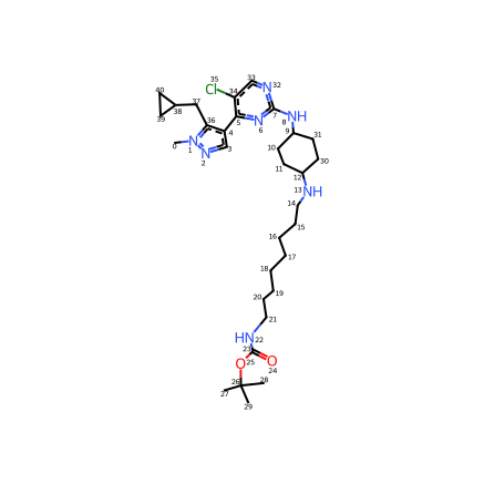 Cn1ncc(-c2nc(NC3CCC(NCCCCCCCCNC(=O)OC(C)(C)C)CC3)ncc2Cl)c1CC1CC1